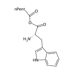 CCCCCC(=O)OC(=O)[C@@H](N)Cc1c[nH]c2ccccc12